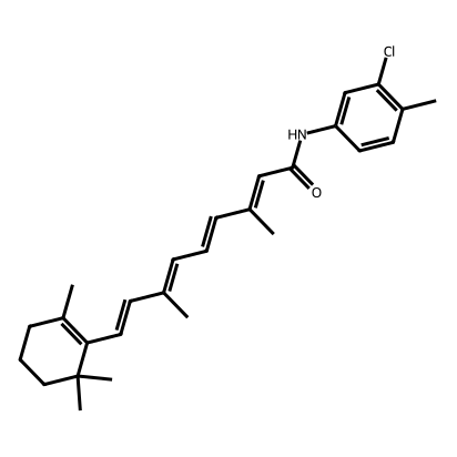 CC1=C(/C=C/C(C)=C/C=C/C(C)=C/C(=O)Nc2ccc(C)c(Cl)c2)C(C)(C)CCC1